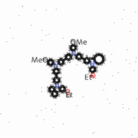 CCOc1ccc(N(c2ccc(-c3ccc(N(c4ccc(OC)cc4)c4ccc(-c5ccc(N(c6ccc(OC)cc6)c6ccc(-c7ccc(N(c8ccc(OCC)cc8)c8cccc9ccccc89)cc7)cc6)cc5)cc4)cc3)cc2)c2ccccccccc2C)cc1